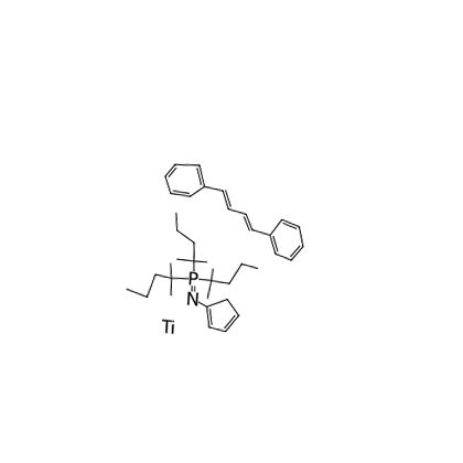 C(C=Cc1ccccc1)=Cc1ccccc1.CCCC(C)(C)P(=NC1=CC=CC1)(C(C)(C)CCC)C(C)(C)CCC.[Ti]